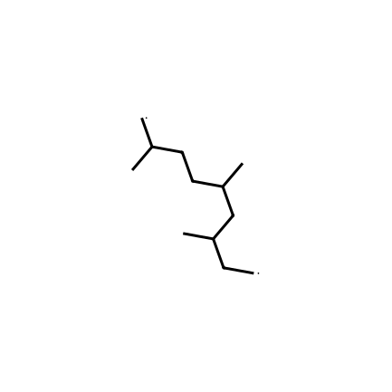 [CH2]CC(C)CC(C)CCC([CH2])C